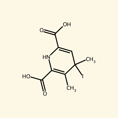 CC1=C(C(=O)O)NC(C(=O)O)=CC1(C)I